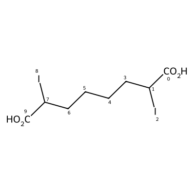 O=C(O)C(I)CCCCC(I)C(=O)O